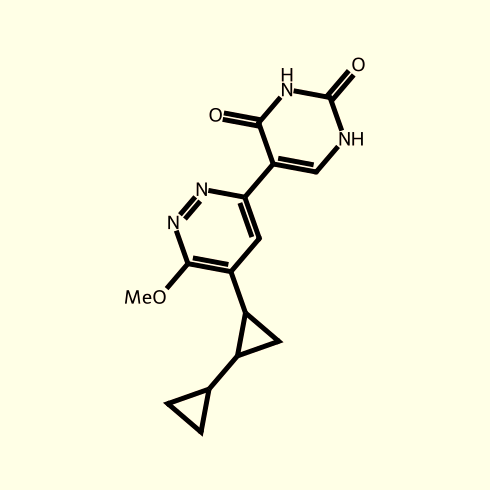 COc1nnc(-c2c[nH]c(=O)[nH]c2=O)cc1C1CC1C1CC1